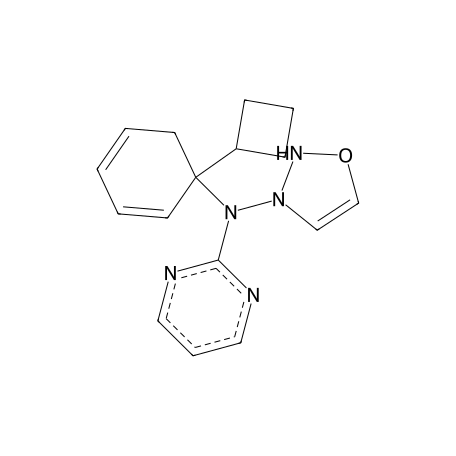 C1=CCC(C2CCC2)(N(c2ncccn2)N2C=CON2)C=C1